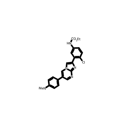 CCOC(=O)Nc1ccc(Cl)c(-c2cn3cc(-c4ccc(NC)cc4)cnc3n2)c1